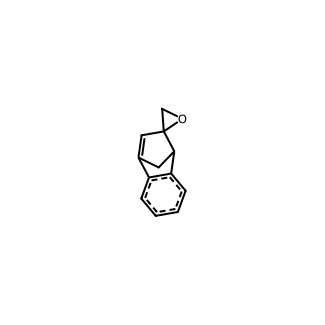 C1=C2CC(c3ccccc32)C12CO2